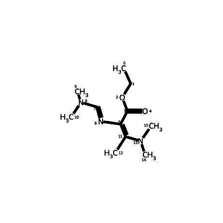 CCOC(=O)/C(N=CN(C)C)=C(/C)N(C)C